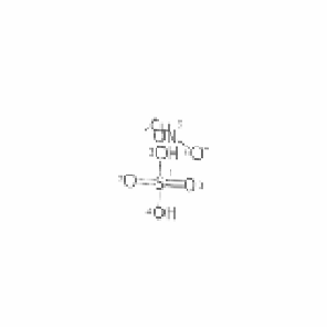 O=S(=O)(O)O.O=[NH+][O-].[Cu]